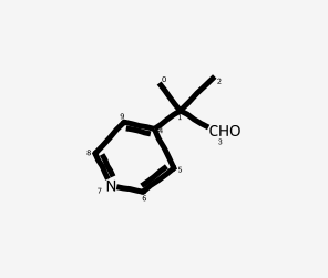 CC(C)(C=O)c1ccncc1